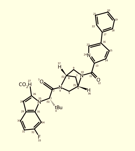 CC(C)(C)[C@@H](C(=O)N1C[C@@H]2C[C@H]1CN2C(=O)c1ccc(-c2ccccc2)cn1)n1c(C(=O)O)cc2ccc(F)cc21